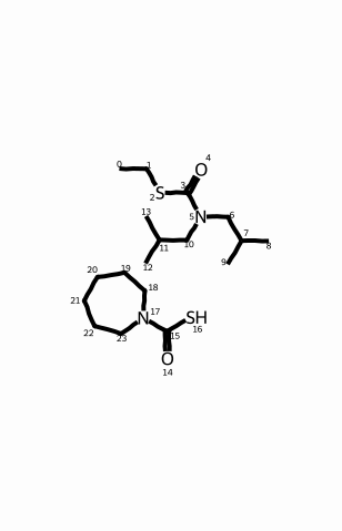 CCSC(=O)N(CC(C)C)CC(C)C.O=C(S)N1CCCCCC1